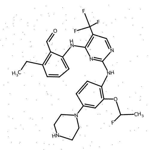 CCc1cccc(Nc2nc(Nc3ccc(N4CCNCC4)cc3OC(C)F)ncc2C(F)(F)F)c1C=O